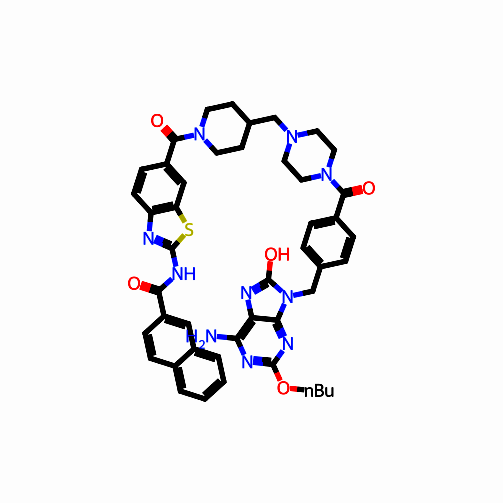 CCCCOc1nc(N)c2nc(O)n(Cc3ccc(C(=O)N4CCN(CC5CCN(C(=O)c6ccc7nc(NC(=O)c8ccc9ccccc9c8)sc7c6)CC5)CC4)cc3)c2n1